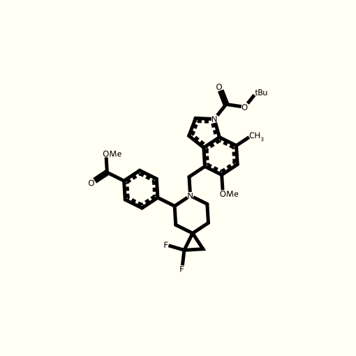 COC(=O)c1ccc(C2CC3(CCN2Cc2c(OC)cc(C)c4c2ccn4C(=O)OC(C)(C)C)CC3(F)F)cc1